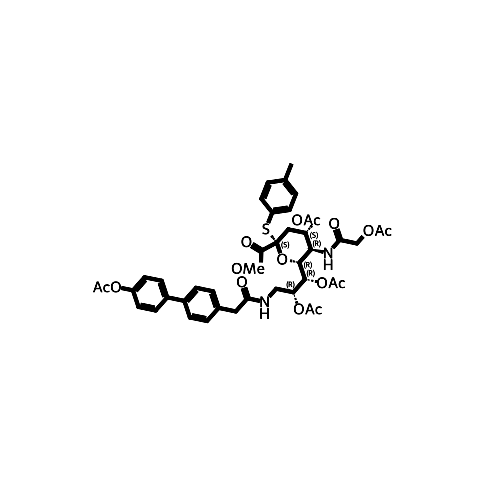 COC(=O)[C@@]1(Sc2ccc(C)cc2)C[C@H](OC(C)=O)[C@@H](NC(=O)COC(C)=O)[C@H]([C@H](OC(C)=O)[C@@H](CNC(=O)Cc2ccc(-c3ccc(OC(C)=O)cc3)cc2)OC(C)=O)O1